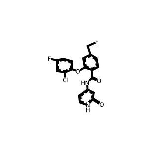 O=C(Nc1cc[nH]c(=O)c1)c1ccc(CF)cc1Oc1ccc(F)cc1Cl